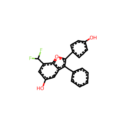 Oc1ccc(-c2oc3c(C(F)F)cc(O)cc3c2-c2ccccc2)cc1